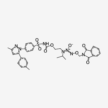 Cc1ccc(-c2cc(C)nn2-c2ccc(S(=O)(=O)NC(=O)OCCN(C(C)C)/[N+]([O-])=N/OCN3C(=O)c4ccccc4C3=O)cc2)cc1